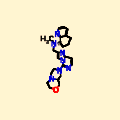 CN(Cc1cn2c(N3CCN4CCOCC4C3)nccc2n1)[C@H]1CCCc2cccnc21